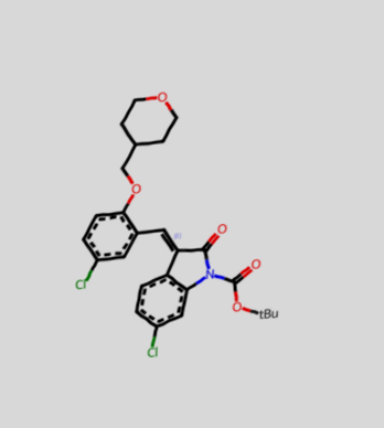 CC(C)(C)OC(=O)N1C(=O)/C(=C/c2cc(Cl)ccc2OCC2CCOCC2)c2ccc(Cl)cc21